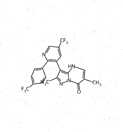 Cc1nn2c(=O)c(C)c[nH]c2c1-c1cc(C(F)(F)F)cnc1-c1ccc(C(F)(F)F)cc1